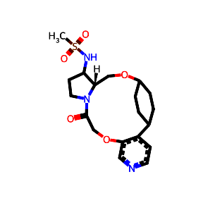 CS(=O)(=O)NC1CCN2C(=O)COc3cnccc3C3CCC(CC3)OC[C@@H]12